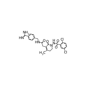 CC1=C(CC(=O)NCc2ccc(C(=N)N)cc2)C(=O)N(NS(=O)(=O)c2cc(Cl)ccc2Cl)CC1